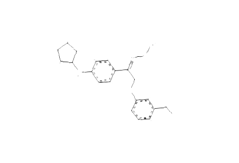 CCCO/N=C(\COc1cccc(CC(=O)O)c1)c1ccc(OC2CCCC2)cc1